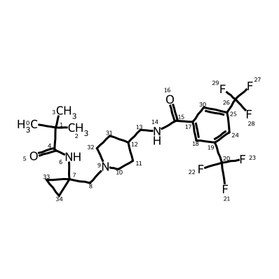 CC(C)(C)C(=O)NC1(CN2CCC(CNC(=O)c3cc(C(F)(F)F)cc(C(F)(F)F)c3)CC2)CC1